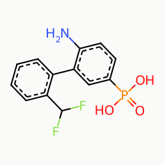 Nc1ccc(P(=O)(O)O)cc1-c1ccccc1C(F)F